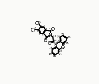 O=C1c2cc(Cl)c(Cl)cc2C(=O)N1CC(=O)N1c2ccccc2Oc2ccccc21